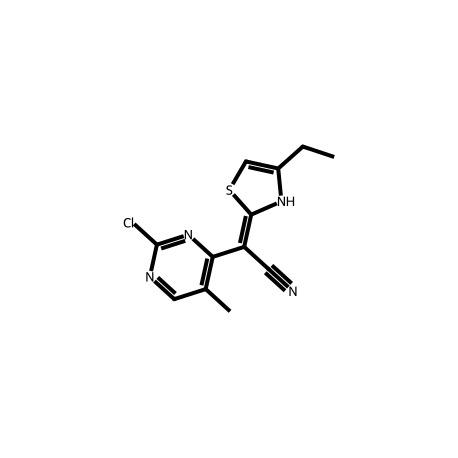 CCC1=CS/C(=C(/C#N)c2nc(Cl)ncc2C)N1